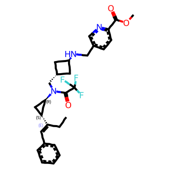 CC/C(=C\c1ccccc1)[C@@H]1C[C@H]1N(C[C@H]1C[C@H](NCc2ccc(C(=O)OC)nc2)C1)C(=O)C(F)(F)F